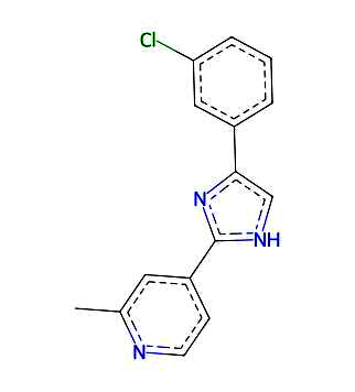 Cc1cc(-c2nc(-c3cccc(Cl)c3)c[nH]2)ccn1